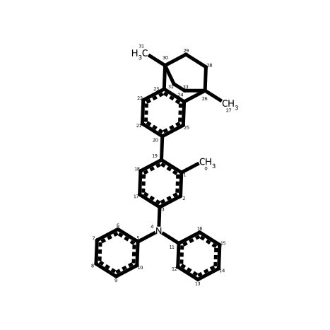 Cc1cc(N(c2ccccc2)c2ccccc2)ccc1-c1ccc2c(c1)C1(C)CCC2(C)CC1